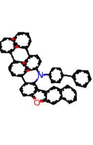 c1ccc(-c2ccc(-c3ccc4oc5cc6ccccc6cc5c4c3N(c3ccc(-c4ccccc4)cc3)c3ccc(-c4ccccc4)cc3)cc2)cc1